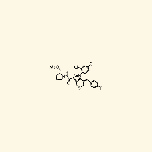 COC[C@H]1CCCN1NC(=O)c1nn(-c2ccc(Cl)cc2Cl)c2c1CSC/C2=C\c1ccc(F)cc1